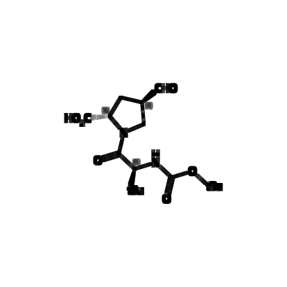 CC(C)(C)OC(=O)N[C@H](C(=O)N1C[C@H](C=O)C[C@H]1C(=O)O)C(C)(C)C